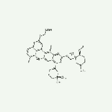 CCc1c(F)ccc2cc(OCOC)cc(-c3c(Cl)cc4c(N5CCC[C@@](C)(O)C5)nc(OCC5(C)CN(C)CC/C5=C\F)nc4c3F)c12